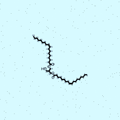 CCCCCCCC/C=C\CCCCCCCC(=O)OCC(CO)COC(=O)CCCCCCC/C=C\CCCCCCCC